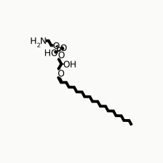 CCCCCCCCCCCCCCCCCC/C=C\OC[C@@H](O)COP(=O)(O)OCCN